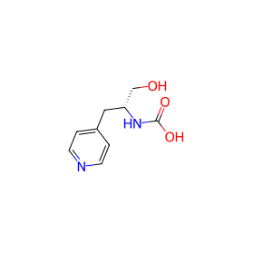 O=C(O)N[C@@H](CO)Cc1ccncc1